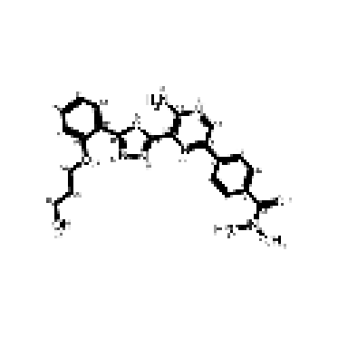 CN(C)C(=O)c1ccc(-c2cnc(N)c(-c3nnc(-c4ccccc4OCCCO)o3)n2)cc1